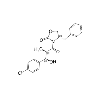 C[C@@H](C(=O)N1C(=O)OC[C@@H]1Cc1ccccc1)[C@@H](O)c1ccc(Cl)cc1